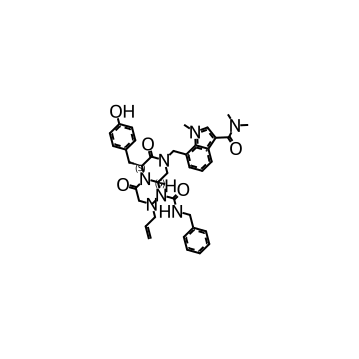 C=CCN1CC(=O)N2[C@@H](Cc3ccc(O)cc3)C(=O)N(Cc3cccc4c(C(=O)N(C)C)cn(C)c34)C[C@@H]2N1C(=O)NCc1ccccc1